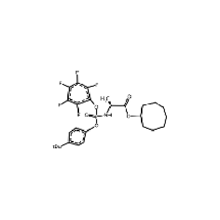 C[C@H](NP(=O)(Oc1ccc(C(C)(C)C)cc1)Oc1c(F)c(F)c(F)c(F)c1F)C(=O)OC1CCCCCCC1